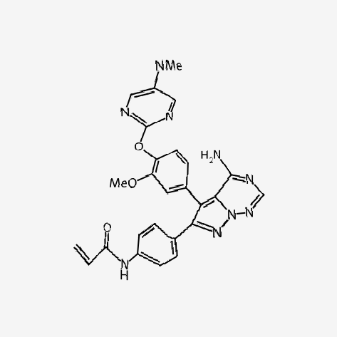 C=CC(=O)Nc1ccc(-c2nn3ncnc(N)c3c2-c2ccc(Oc3ncc(NC)cn3)c(OC)c2)cc1